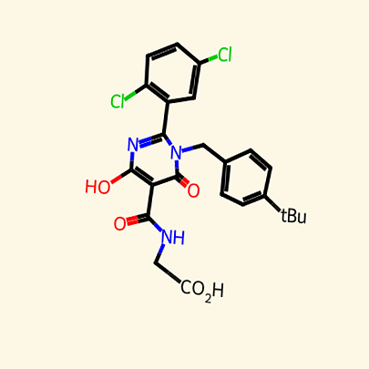 CC(C)(C)c1ccc(Cn2c(-c3cc(Cl)ccc3Cl)nc(O)c(C(=O)NCC(=O)O)c2=O)cc1